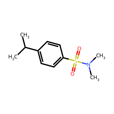 CC(C)c1ccc(S(=O)(=O)N(C)C)cc1